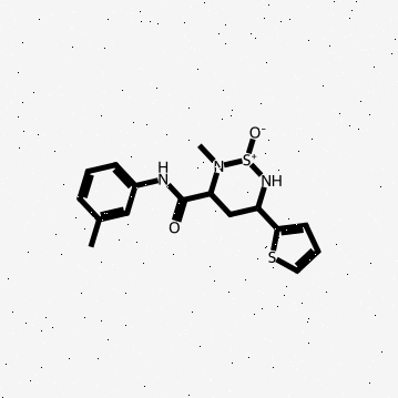 Cc1cccc(NC(=O)C2CC(c3cccs3)N[S+]([O-])N2C)c1